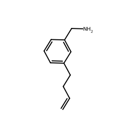 C=CCCc1cccc(CN)c1